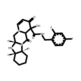 O=C1C2N(C=CC(=O)C2(O)C(=O)NCc2ccc(F)cc2F)C[C@H]2N[C@H]3CCCC[C@@H]3N12